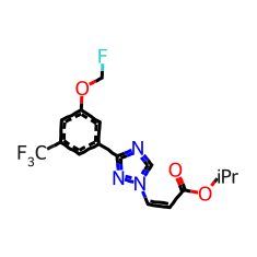 CC(C)OC(=O)/C=C\n1cnc(-c2cc(OCF)cc(C(F)(F)F)c2)n1